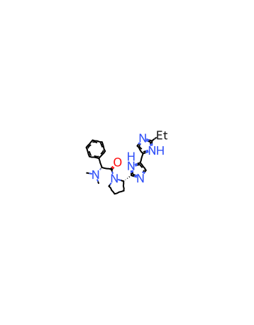 [CH2]Cc1ncc(-c2cnc([C@@H]3CCCN3C(=O)[C@@H](c3ccccc3)N(C)C)[nH]2)[nH]1